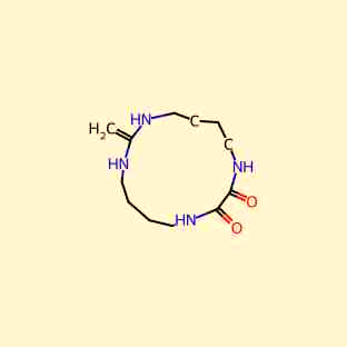 C=C1NCCCCNC(=O)C(=O)NCCCCN1